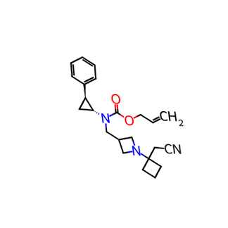 C=CCOC(=O)N(CC1CN(C2(CC#N)CCC2)C1)[C@@H]1C[C@H]1c1ccccc1